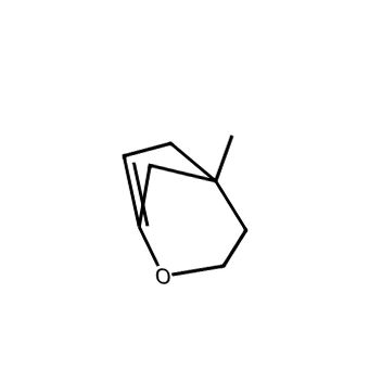 CC12CC=C(C1)OCC2